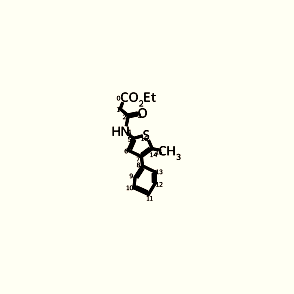 CCOC(=O)CC(=O)Nc1cc(-c2ccccc2)c(C)s1